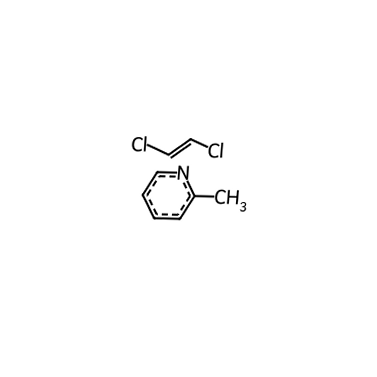 Cc1ccccn1.ClC=CCl